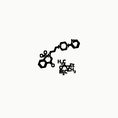 C=C.CCOC(C)OCC.O=C1CN(CCCN2CCN(c3ccccn3)CC2)S(=O)(=O)c2ccccc21